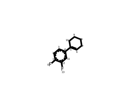 Fc1ccc(C2=CCCCC2)cc1F